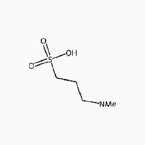 CNCCCS(=O)(=O)O